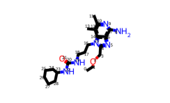 CCOCc1nc2c(N)nc(C)c(C)c2n1CCCNC(=O)NC1CCCCC1